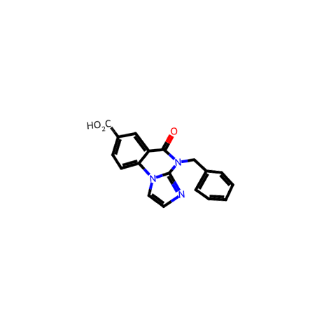 O=C(O)c1ccc2c(c1)c(=O)n(Cc1ccccc1)c1nccn21